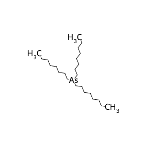 CCCCCCCC[As](CCCCCCCC)CCCCCCCC